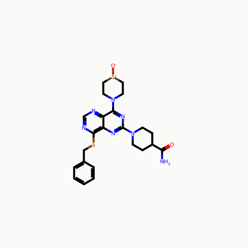 NC(=O)C1CCN(c2nc(N3CC[S+]([O-])CC3)c3ncnc(SCc4ccccc4)c3n2)CC1